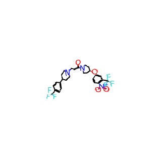 O=C(CCN1CCC(c2ccc(C(F)(F)F)cc2)CC1)N1CCC(Oc2ccc([N+](=O)[O-])c(C(F)(F)F)c2)CC1